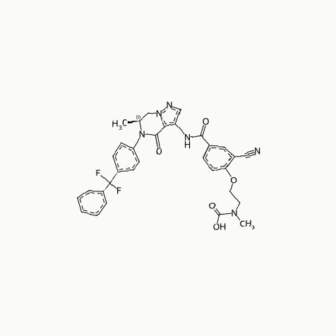 C[C@H]1Cn2ncc(NC(=O)c3ccc(OCCN(C)C(=O)O)c(C#N)c3)c2C(=O)N1c1ccc(C(F)(F)c2ccccc2)cc1